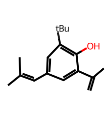 C=C(C)c1cc(C=C(C)C)cc(C(C)(C)C)c1O